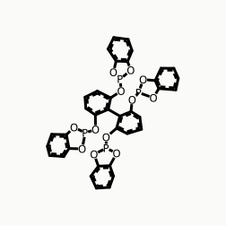 c1ccc2c(c1)OP(Oc1cccc(OP3Oc4ccccc4O3)c1-c1c(OP3Oc4ccccc4O3)cccc1OP1Oc3ccccc3O1)O2